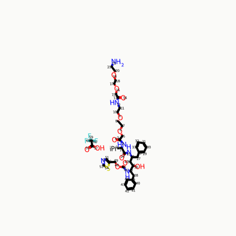 CC(C)C(NC(=O)COCCOCCNC(=O)COCCOCCN)C(=O)NC(Cc1ccccc1)CC(O)C(Cc1ccccc1)NC(=O)OCc1cncs1.O=C(O)C(F)(F)F